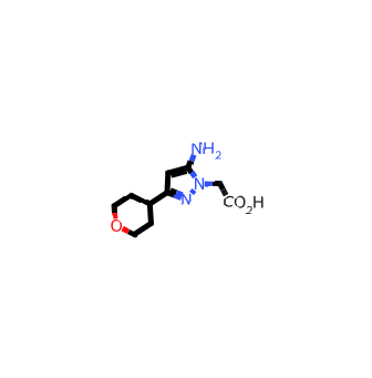 Nc1cc(C2CCOCC2)nn1CC(=O)O